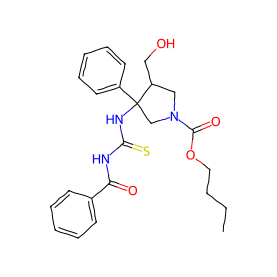 CCCCOC(=O)N1CC(CO)C(NC(=S)NC(=O)c2ccccc2)(c2ccccc2)C1